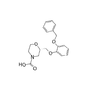 O=C(O)N1CCO[C@H](COc2ccccc2OCc2ccccc2)C1